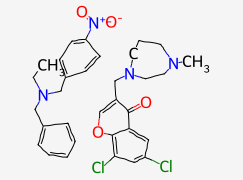 CCN(Cc1ccccc1)Cc1ccc([N+](=O)[O-])cc1.CN1CCCN(Cc2coc3c(Cl)cc(Cl)cc3c2=O)CC1